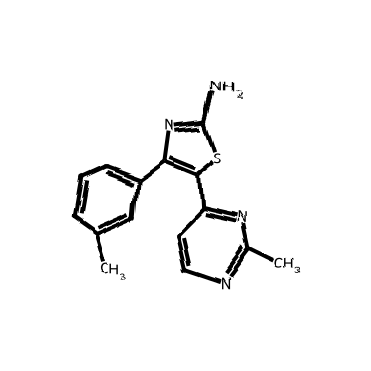 Cc1cccc(-c2nc(N)sc2-c2ccnc(C)n2)c1